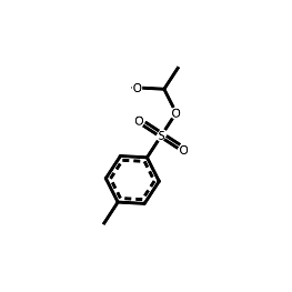 Cc1ccc(S(=O)(=O)OC(C)[O])cc1